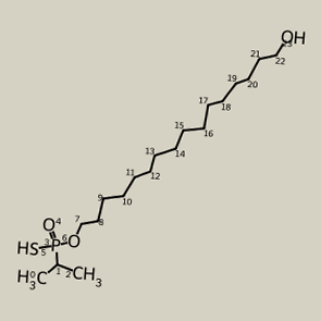 CC(C)P(=O)(S)OCCCCCCCCCCCCCCCCO